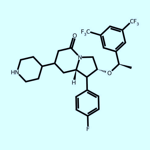 C[C@@H](O[C@H]1CN2C(=O)CC(C3CCNCC3)C[C@H]2C1c1ccc(F)cc1)c1cc(C(F)(F)F)cc(C(F)(F)F)c1